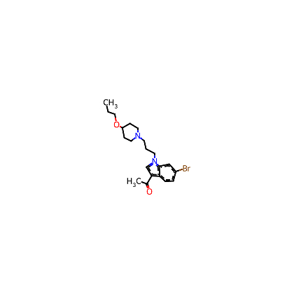 CCCOC1CCN(CCCn2cc(C(C)=O)c3ccc(Br)cc32)CC1